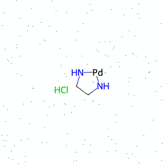 C1C[NH][Pd][NH]1.Cl